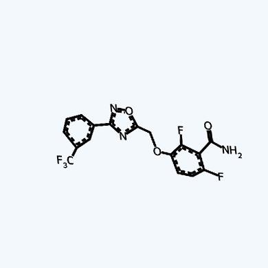 NC(=O)c1c(F)ccc(OCc2nc(-c3cccc(C(F)(F)F)c3)no2)c1F